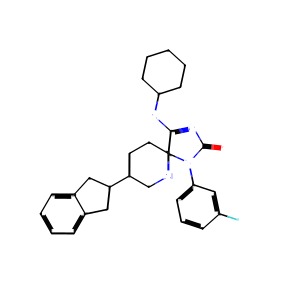 O=C1N=C(NC2CCCCC2)C2(CCC(C3Cc4ccccc4C3)CN2)N1c1cccc(F)c1